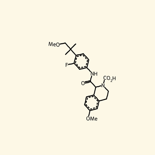 COCC(C)(C)c1ccc(NC(=O)C2c3ccc(OC)cc3CCN2C(=O)O)cc1F